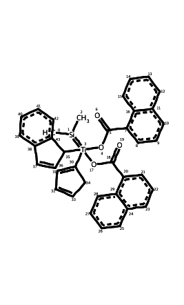 C[Si](C)=[Ti]([O]C(=O)c1cccc2ccccc12)([O]C(=O)c1cccc2ccccc12)([C]1=CC=CC1)[CH]1C=Cc2ccccc21